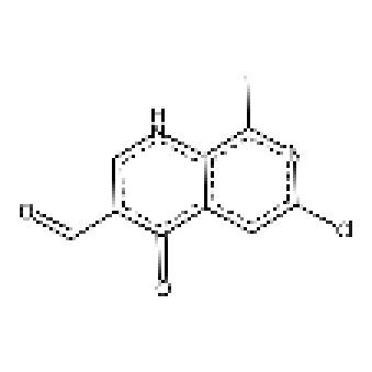 Cc1nc(Cl)cc2c(=O)c(C=O)c[nH]c12